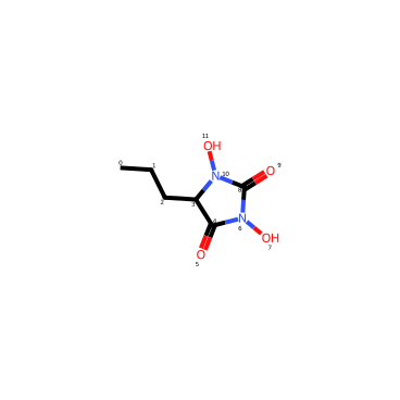 CCCC1C(=O)N(O)C(=O)N1O